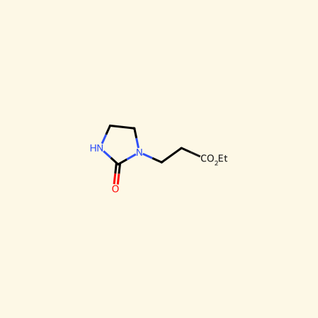 CCOC(=O)CCN1CCNC1=O